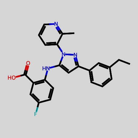 CCc1cccc(-c2cc(Nc3ccc(F)cc3C(=O)O)n(-c3cccnc3C)n2)c1